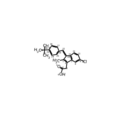 CC1=C(CC(=O)O)c2cc(Cl)ccc2C1=Cc1ccc(C(C)(C)C)cc1